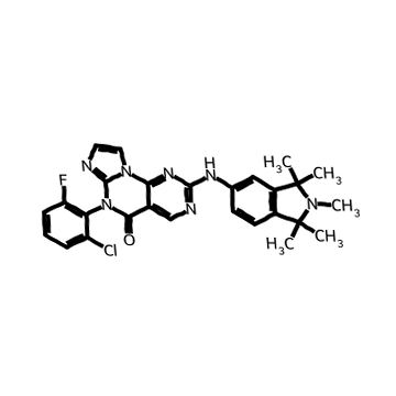 CN1C(C)(C)c2ccc(Nc3ncc4c(=O)n(-c5c(F)cccc5Cl)c5nccn5c4n3)cc2C1(C)C